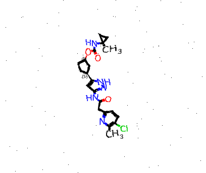 Cc1nc(CC(=O)Nc2cc([C@H]3CC[C@@H](OC(=O)NC4(C)CC4)C3)[nH]n2)ccc1Cl